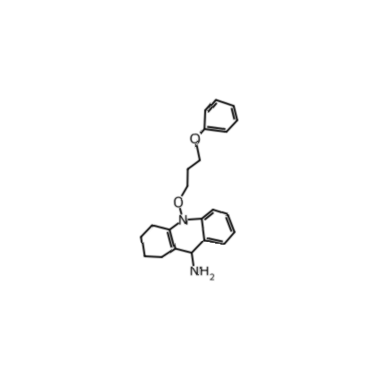 NC1C2=C(CCCC2)N(OCCCOc2ccccc2)c2ccccc21